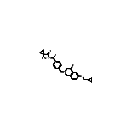 C[C@H](NC(=O)C1(C#N)CC1)c1ccc(CN2Cc3ccc(OCC4CC4)cc3C(F)C2)cc1